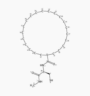 CNC(=O)[C@H](CS)NC(=O)C1CCCCCCCCCCCCCCCCCCCCC1